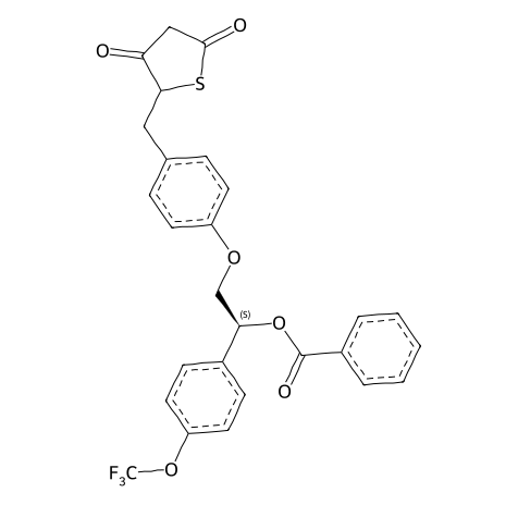 O=C1CC(=O)C(Cc2ccc(OC[C@@H](OC(=O)c3ccccc3)c3ccc(OC(F)(F)F)cc3)cc2)S1